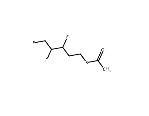 CC(=O)SCCC(F)C(F)CF